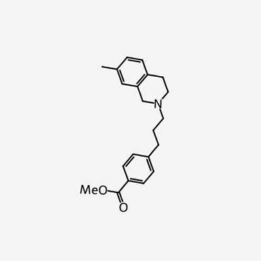 COC(=O)c1ccc(CCCN2CCc3ccc(C)cc3C2)cc1